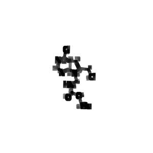 CC(C)(C)OC(=O)NCn1c(CCl)cc2c(Cl)ncnc21